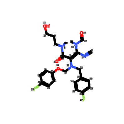 C=N/C(=C(/C(=O)N(C)CCCO)N(COc1ccc(F)cc1)Cc1ccc(F)cc1)N(C)C=O